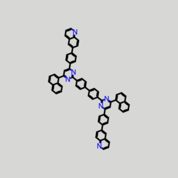 c1cnc2ccc(-c3ccc(-c4cc(-c5cccc6ccccc56)nc(-c5ccc(-c6ccc(-c7nc(-c8ccc(-c9ccc%10ncccc%10c9)cc8)cc(-c8cccc9ccccc89)n7)cc6)cc5)n4)cc3)cc2c1